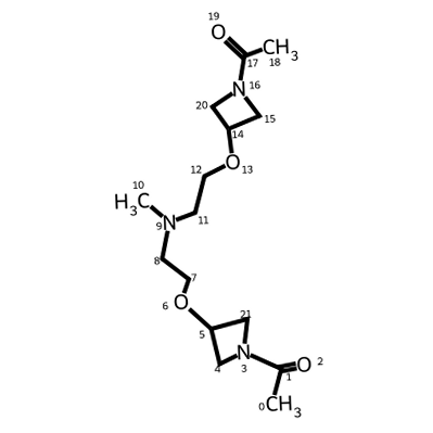 CC(=O)N1CC(OCCN(C)CCOC2CN(C(C)=O)C2)C1